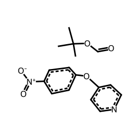 CC(C)(C)OC=O.O=[N+]([O-])c1ccc(Oc2ccncc2)cc1